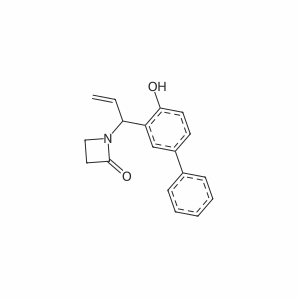 C=CC(c1cc(-c2ccccc2)ccc1O)N1CCC1=O